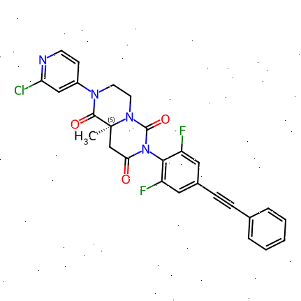 C[C@@]12CC(=O)N(c3c(F)cc(C#Cc4ccccc4)cc3F)C(=O)N1CCN(c1ccnc(Cl)c1)C2=O